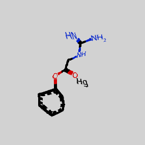 N=C(N)NCC(=O)Oc1ccccc1.[Hg]